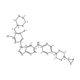 Fc1cc(-n2ccc3cnc(Nc4ccc(N5CCN(C6CC6)CC5)nc4)nc32)cc(F)c1CN1CCOCC1